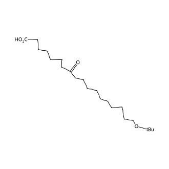 CC(C)(C)OCCCCCCCCCCC(=O)CCCCCCC(=O)O